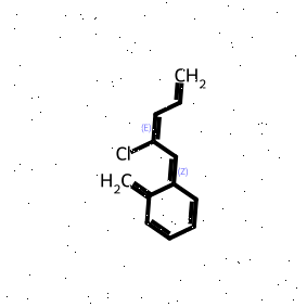 C=C/C=C(Cl)\C=c1\ccccc1=C